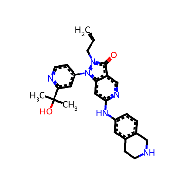 C=CCn1c(=O)c2cnc(Nc3ccc4c(c3)CCNC4)cc2n1-c1ccnc(C(C)(C)O)c1